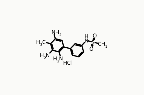 Cc1c(N)cc(-c2cccc(NS(C)(=O)=O)c2)c(N)c1N.Cl